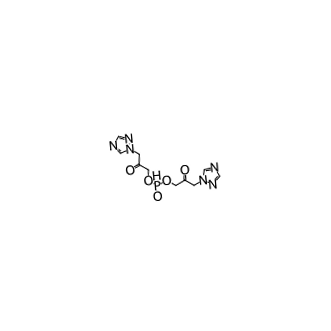 O=C(CO[PH](=O)OCC(=O)Cn1cncn1)Cn1cncn1